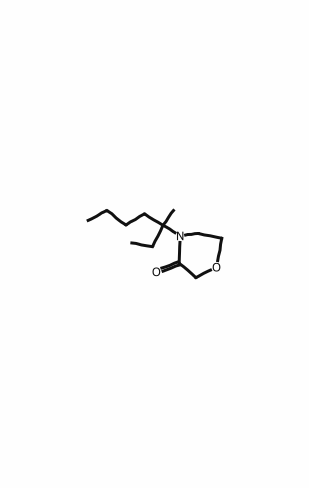 CCCCC(C)(CC)N1CCOCC1=O